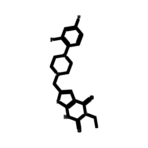 CCn1c(=O)[nH]c2sc(CN3CCN(c4ccc(F)cc4F)CC3)cc2c1=O